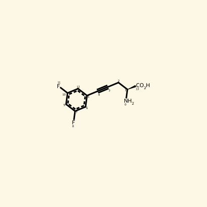 N[C@@H](CC#Cc1cc(F)cc(F)c1)C(=O)O